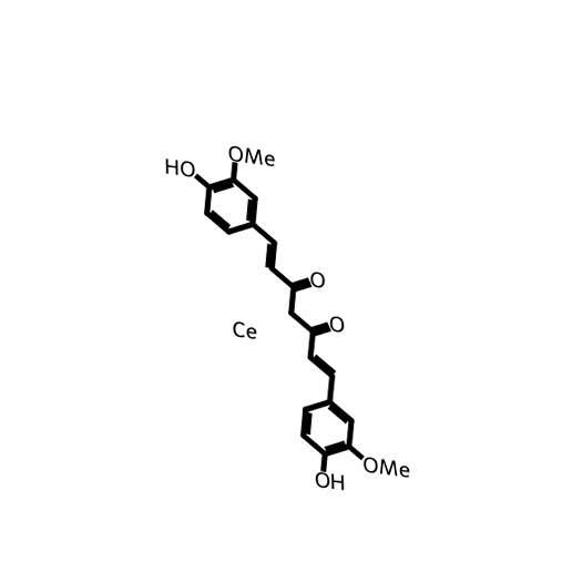 COc1cc(/C=C/C(=O)CC(=O)/C=C/c2ccc(O)c(OC)c2)ccc1O.[Ce]